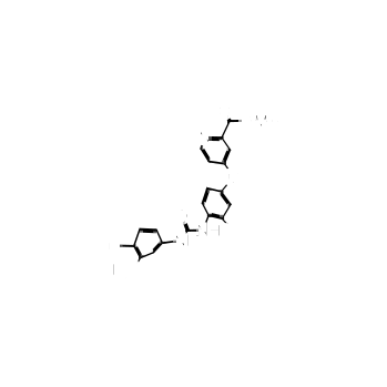 COC(=O)c1cc(Oc2ccc(NC(=O)Nc3ccc(Cl)c(C(F)(F)F)c3)c(F)c2)ccn1